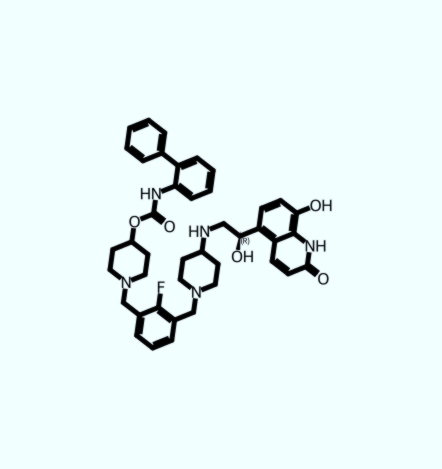 O=C(Nc1ccccc1-c1ccccc1)OC1CCN(Cc2cccc(CN3CCC(NC[C@H](O)c4ccc(O)c5[nH]c(=O)ccc45)CC3)c2F)CC1